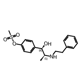 C[C@H](NCCc1ccccc1)[C@H](O)c1ccc(OS(C)(=O)=O)cc1